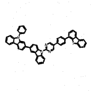 c1ccc(-n2c3ccccc3c3ccc(-c4ccc5c(c4)c4ccccc4n5-c4ncc(-c5ccc(-c6cccc7c6sc6ccccc67)cc5)cn4)cc32)cc1